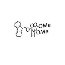 COC(=O)C(NC(=O)OCC1c2ccccc2-c2ccccc21)OC